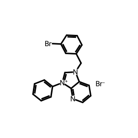 Brc1cccc(Cn2c[n+](-c3ccccc3)c3ncccc32)c1.[Br-]